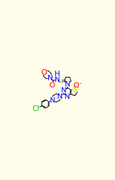 O=C(NC[C@@H]1CCCN1c1nc(N2CCN(c3ccc(Cl)cc3)CC2)nc2c1[S+]([O-])CC2)N1CCOCC1